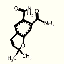 CC1(C)C=Cc2cc(C(N)=O)c(C(N)=O)cc2O1